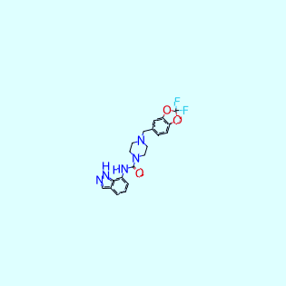 O=C(Nc1cccc2cn[nH]c12)N1CCN(Cc2ccc3c(c2)OC(F)(F)O3)CC1